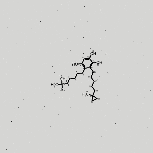 CCC(C)(C)CCCCCc1c(O)cc(O)c(O)c1CCCCCC1(C)CC1